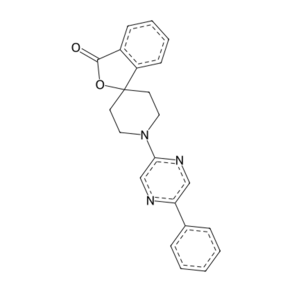 O=C1OC2(CCN(c3cnc(-c4ccccc4)cn3)CC2)c2ccccc21